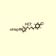 CCCCCCCN1C=CN(CC/C=C/c2ccc(Cl)cc2)C1.Cl